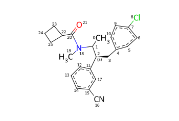 CC([C@@H](Cc1ccc(Cl)cc1)c1cccc(C#N)c1)N(C)C(=O)C1CCC1